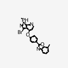 CPn1nc(Br)c2c(Oc3ccc(-c4nc5cccc(C)c5o4)cc3)ccnc21